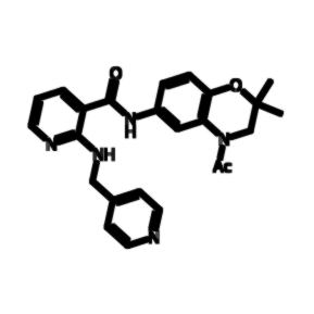 CC(=O)N1CC(C)(C)Oc2ccc(NC(=O)c3cccnc3NCc3ccncc3)cc21